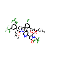 CCOC(=O)[C@@H]1C(c2cc(-c3ccc(F)cc3C)c(N(C)C(=O)C(C)(C)c3cc(C(F)(F)F)cc(C(F)(F)F)c3)cn2)CC(=O)N1CC(F)(F)F